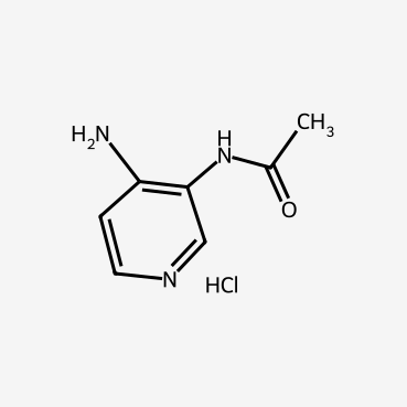 CC(=O)Nc1cnccc1N.Cl